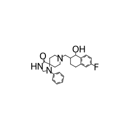 O=C1NCN(c2ccccc2)C12CCN(CC1CCc3cc(F)ccc3C1O)CC2